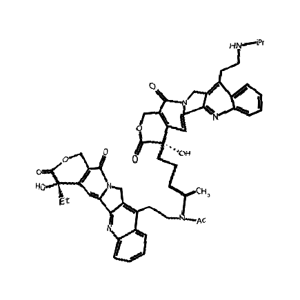 CC[C@@]1(O)C(=O)OCc2c1cc1n(c2=O)Cc2c-1nc1ccccc1c2CCN(C(C)=O)C(C)CCC[C@@]1(O)C(=O)OCc2c1cc1n(c2=O)Cc2c-1nc1ccccc1c2CCNC(C)C